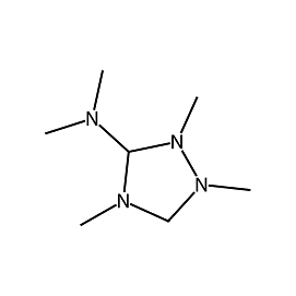 CN(C)C1N(C)CN(C)N1C